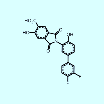 O=C(O)c1cc2c(cc1O)C(=O)N(c1cc(-c3ccc(F)c(F)c3)ccc1O)C2=O